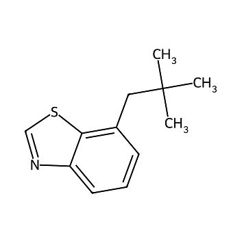 CC(C)(C)Cc1cccc2ncsc12